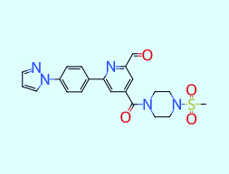 CS(=O)(=O)N1CCN(C(=O)c2cc(C=O)nc(-c3ccc(-n4cccn4)cc3)c2)CC1